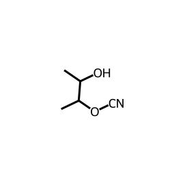 CC(O)C(C)OC#N